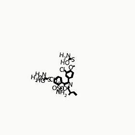 C.C=CC(C)c1nc(-c2ccc(OC)c(Cl)c2)c(-c2ccccc2S(N)(=O)=O)o1.NC(O)=S.NC(O)=S.O